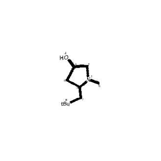 CN1CC(O)CC1CC(C)(C)C